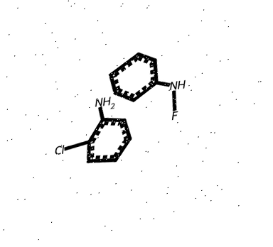 FNc1ccccc1.Nc1ccccc1Cl